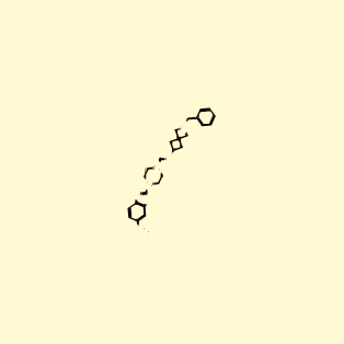 C[C@@H]1CN(c2nc3ccc(C#N)cc3s2)C[C@H](C)N1C(=O)OC1CC2(C1)CN(Cc1ccccc1)C2